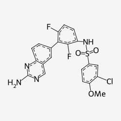 COc1ccc(S(=O)(=O)Nc2ccc(F)c(-c3ccc4nc(N)ncc4c3)c2F)cc1Cl